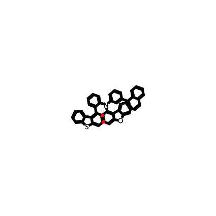 c1cc(-c2cccc3ccccc23)cc(N(c2ccccc2-c2cccc3sc4ccccc4c23)c2cccc3oc4ccccc4c23)c1